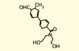 CC1C=C(C2=CCC(C(=O)N(CCO)CCO)C=C2)C=CC1C=O